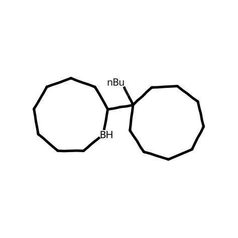 CCCCC1(C2BCCCCCCC2)CCCCCCCC1